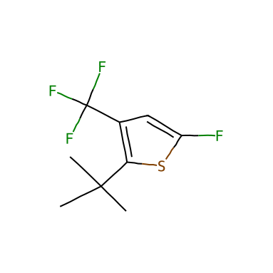 CC(C)(C)c1sc(F)cc1C(F)(F)F